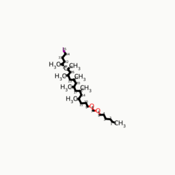 CCCCCCOCOCCCC(C)CC(C)CC(C)CC(C)CC(C)CC(C)CC(C)CCCI